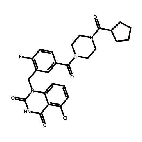 O=C(c1ccc(F)c(Cn2c(=O)[nH]c(=O)c3c(Cl)cccc32)c1)N1CCN(C(=O)C2CCCC2)CC1